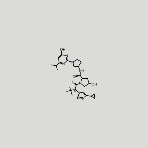 CC(C)c1cc(O)nc(N2CCC(NC(=O)C3CC(O)CN3C(=O)[C@@H](n3cc(C4CC4)nn3)C(C)(C)C)C2)n1